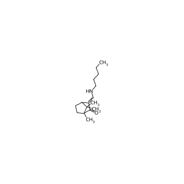 CCCCCN/C=C1/C(=O)C2(C)CCC1C2(C)C